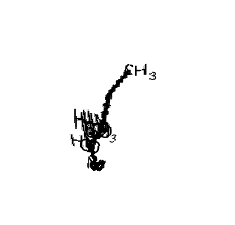 CCCCCCCCCCCCCCCCCCNC(=O)OCC(CNS(=O)(=O)CCCCc1nccc2ccccc12)OC.I